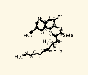 C#Cc1cnc2cc(F)c(OC(SC)C(=O)NC(C)(C)C#CCOCC=C)cc2c1